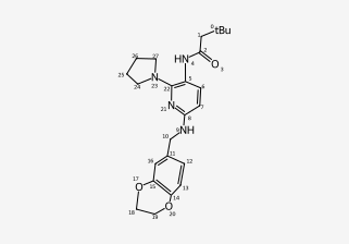 CC(C)(C)CC(=O)Nc1ccc(NCc2ccc3c(c2)OCCO3)nc1N1CCCC1